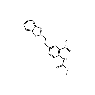 COC(=O)Nc1ccc(OCc2nc3ccccc3s2)cc1[N+](=O)[O-]